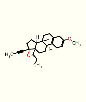 CC#C[C@]1(O)CC[C@H]2[C@@H]3CCC4=C(CC=C(OC)C4)[C@H]3CC[C@@]21CCC